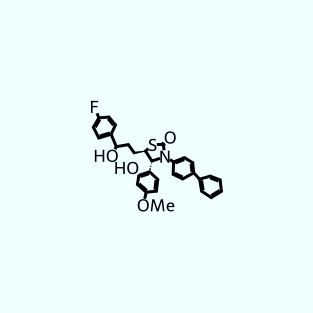 COc1ccc([C@@H]2[C@@H](CCC(O)c3ccc(F)cc3)SC(=O)N2c2ccc(-c3ccccc3)cc2)c(O)c1